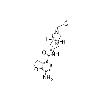 Nc1ccc(C(=O)N[C@H]2C[C@@H]3CN(CC4CC4)C[C@@H]3C2)c2c1OCC2